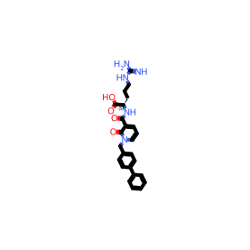 N=C(N)NCCC[C@H](NC(=O)c1cccn(Cc2ccc(-c3ccccc3)cc2)c1=O)C(=O)O